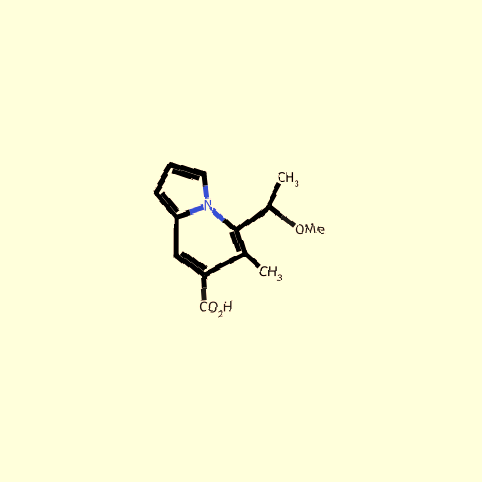 COC(C)c1c(C)c(C(=O)O)cc2cccn12